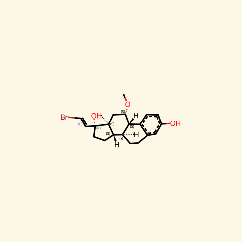 CO[C@H]1C[C@@]2(C)[C@@H](CC[C@@]2(O)/C=C/Br)[C@@H]2CCc3cc(O)ccc3[C@H]21